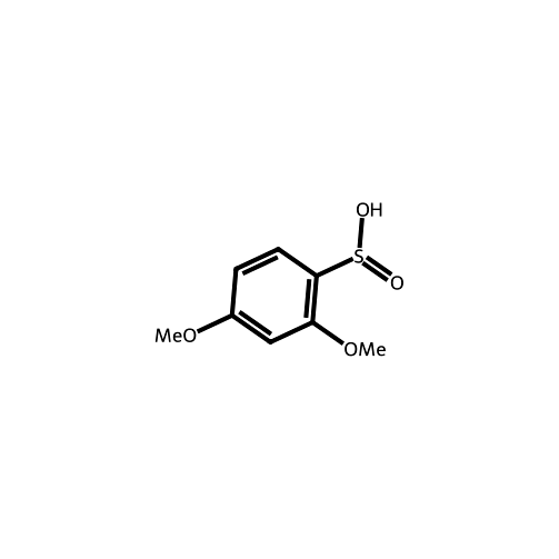 COc1ccc(S(=O)O)c(OC)c1